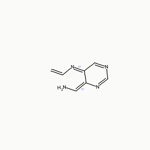 C=C/N=C1/C=NC=N/C1=C/N